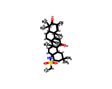 CC1(C)CCC2(NS(=O)(=O)CC(F)(F)F)CCC3(C)C(C(=O)C=C4C5(C)C=C(C#N)C(=O)C(C)(C)C5CCC43C)C2C1